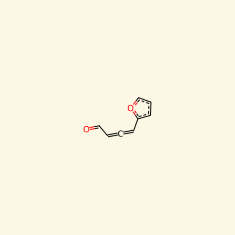 O=CC=C=Cc1ccco1